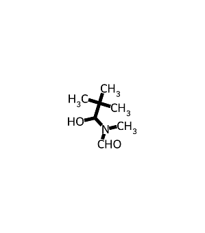 CN(C=O)C(O)C(C)(C)C